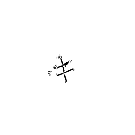 C[P+](C)(C)P(=O)(O)O.[Cl-]